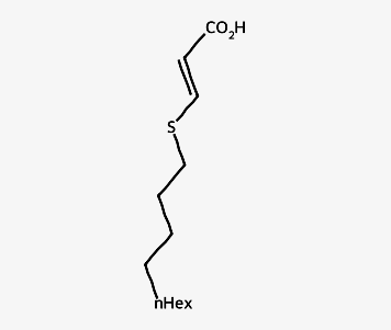 CCCCCCCCCCSC=CC(=O)O